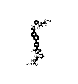 COC(=O)NCC(=O)N1C[C@@H](C)C[C@H]1c1nc(Cl)c(-c2ccc(-c3ccc4cc(-c5cnc([C@@H]6C[C@H](C)CN6C(=O)[C@H](C)NC(=O)OC)[nH]5)ccc4c3)cc2)[nH]1